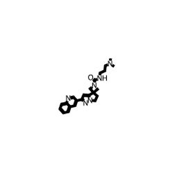 CN(C)CCCNC(=O)N1CC2(CCn3nc(-c4cnc5ccccc5c4)cc32)C1